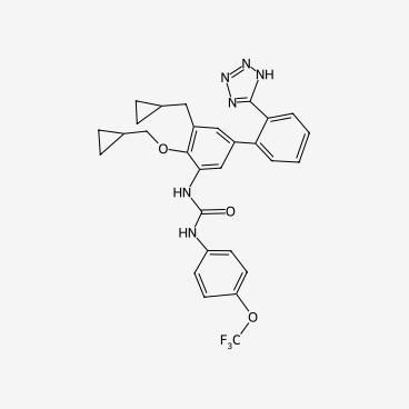 O=C(Nc1ccc(OC(F)(F)F)cc1)Nc1cc(-c2ccccc2-c2nnn[nH]2)cc(CC2CC2)c1OCC1CC1